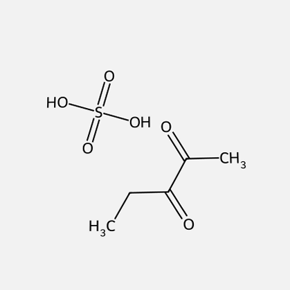 CCC(=O)C(C)=O.O=S(=O)(O)O